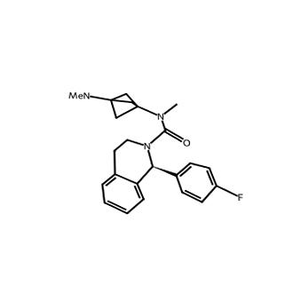 CNC12CC(N(C)C(=O)N3CCc4ccccc4[C@@H]3c3ccc(F)cc3)(C1)C2